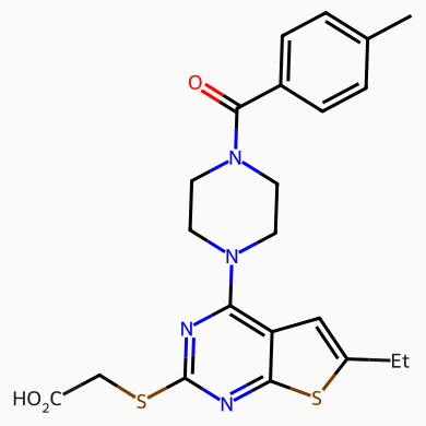 CCc1cc2c(N3CCN(C(=O)c4ccc(C)cc4)CC3)nc(SCC(=O)O)nc2s1